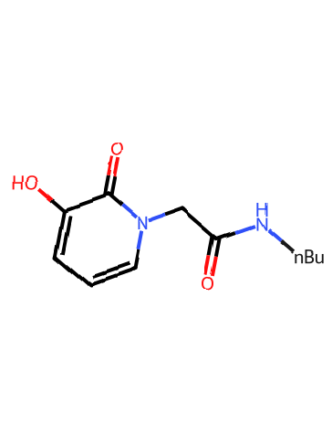 CCCCNC(=O)Cn1cccc(O)c1=O